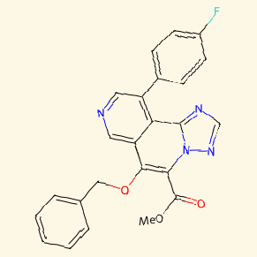 COC(=O)c1c(OCc2ccccc2)c2cncc(-c3ccc(F)cc3)c2c2ncnn12